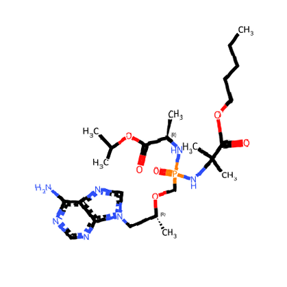 CCCCCOC(=O)C(C)(C)NP(=O)(CO[C@H](C)Cn1cnc2c(N)ncnc21)N[C@H](C)C(=O)OC(C)C